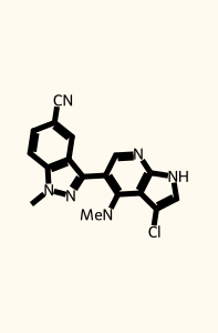 CNc1c(-c2nn(C)c3ccc(C#N)cc23)cnc2[nH]cc(Cl)c12